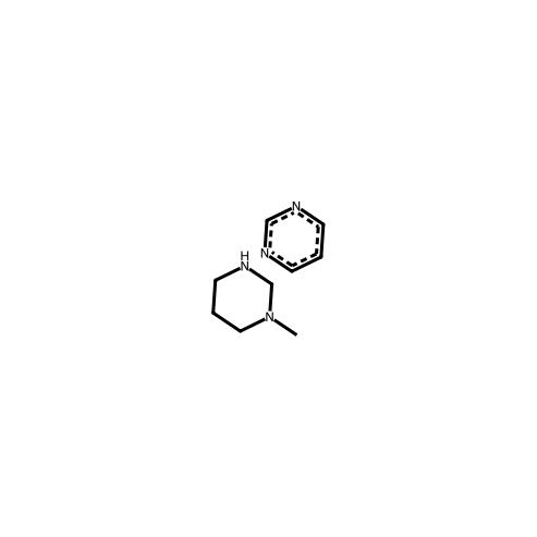 CN1CCCNC1.c1cncnc1